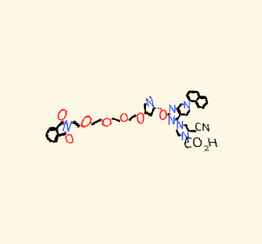 CN1C[C@H](OCCOCCOCCOCCN2C(=O)c3ccccc3C2=O)C[C@H]1COc1nc2c(c(N3CCN(C(=O)O)C(CC#N)C3)n1)CCN(c1cccc3ccccc13)C2